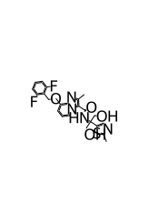 Cc1ncc(C(CO)(CO)NC(=O)c2c(C)nc3c(OCc4c(F)cccc4F)cccn23)s1